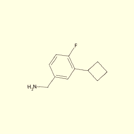 NCc1ccc(F)c(C2CCC2)c1